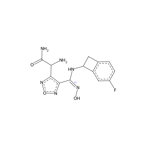 NC(=O)C(N)c1nonc1/C(=N\O)NC1Cc2ccc(F)cc21